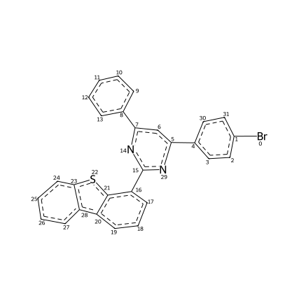 Brc1ccc(-c2cc(-c3ccccc3)nc(-c3cccc4c3sc3ccccc34)n2)cc1